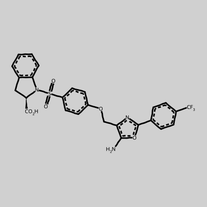 Nc1oc(-c2ccc(C(F)(F)F)cc2)nc1COc1ccc(S(=O)(=O)N2c3ccccc3C[C@@H]2C(=O)O)cc1